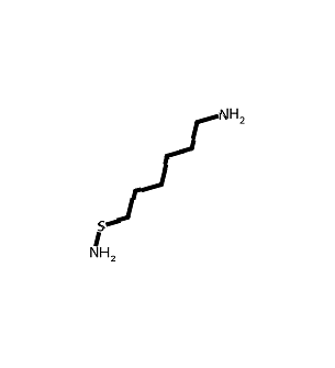 NCCCCCCSN